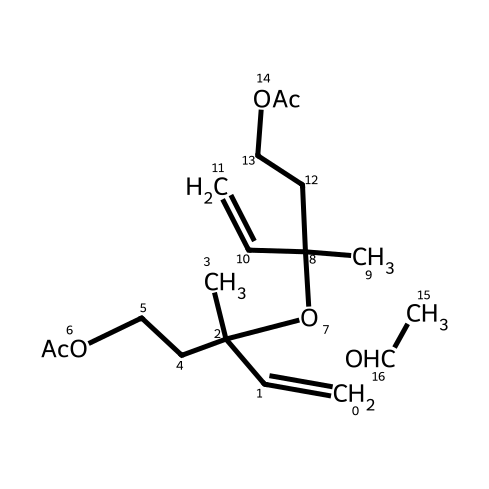 C=CC(C)(CCOC(C)=O)OC(C)(C=C)CCOC(C)=O.CC=O